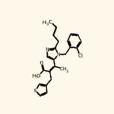 CCCCc1ncc(/C(C)=C(/Cc2ccsc2)C(=O)O)n1Cc1ccccc1Cl